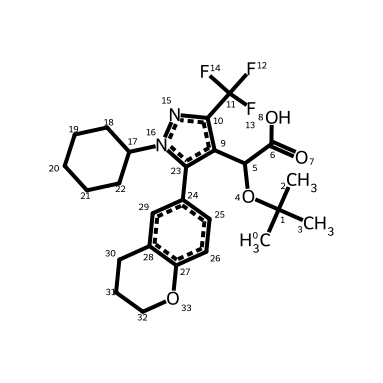 CC(C)(C)OC(C(=O)O)c1c(C(F)(F)F)nn(C2CCCCC2)c1-c1ccc2c(c1)CCCO2